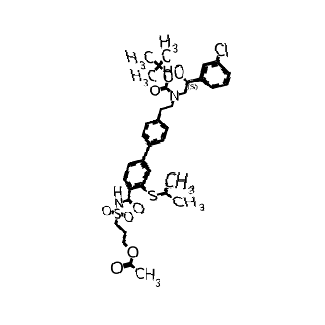 CC(=O)OCCCS(=O)(=O)NC(=O)c1ccc(-c2ccc(CCN(C[C@@H](O)c3cccc(Cl)c3)C(=O)OC(C)(C)C)cc2)cc1SC(C)C